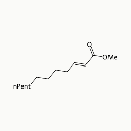 CCCCCCCCC/C=C/C(=O)OC